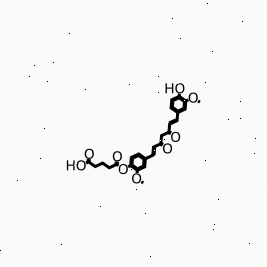 COc1cc(/C=C/C(=O)CC(=O)/C=C/c2ccc(OC(=O)CCCC(=O)O)c(OC)c2)ccc1O